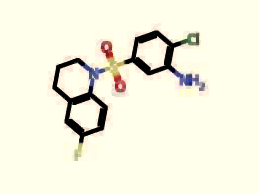 Nc1cc(S(=O)(=O)N2CCCc3cc(F)ccc32)ccc1Cl